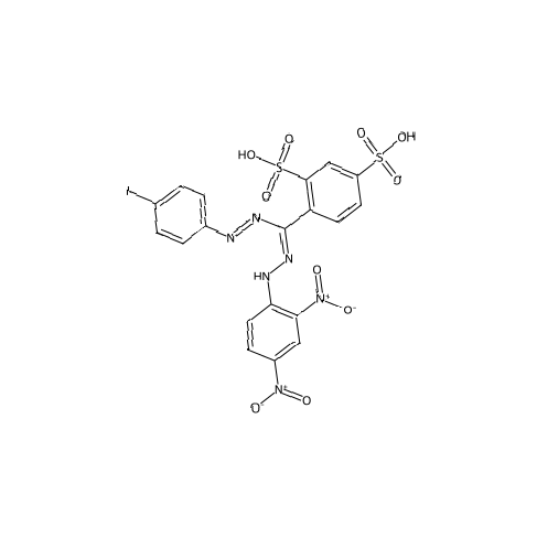 O=[N+]([O-])c1ccc(NN=C(N=Nc2ccc(I)cc2)c2ccc(S(=O)(=O)O)cc2S(=O)(=O)O)c([N+](=O)[O-])c1